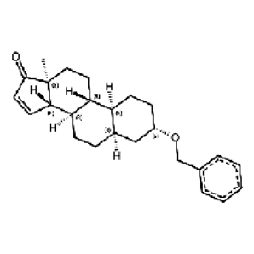 C[C@]12CC[C@H]3[C@@H](CC[C@@H]4C[C@@H](OCc5ccccc5)CC[C@@H]43)[C@@H]1C=CC2=O